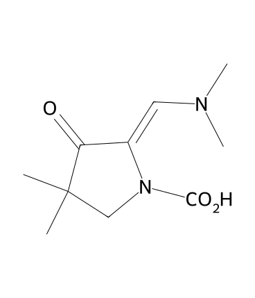 CN(C)C=C1C(=O)C(C)(C)CN1C(=O)O